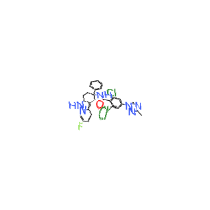 Cc1ncn(-c2cc(Cl)c(C(=O)NC3(c4ccccc4)CCC4NN5C=C(F)C=CC5=C4C3)c(Cl)c2)n1